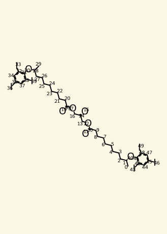 CC(CCCCCCCCC(=O)OCC(=O)COC(=O)CCCCCCCCC(C)Oc1c(I)cc(I)cc1I)Oc1c(I)cc(I)cc1I